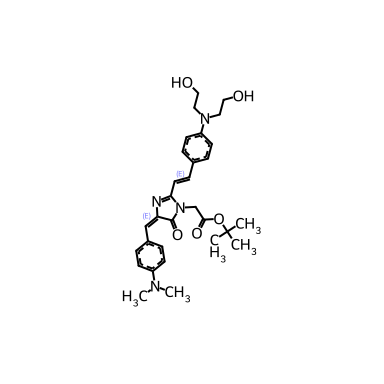 CN(C)c1ccc(/C=C2N=C(/C=C/c3ccc(N(CCO)CCO)cc3)N(CC(=O)OC(C)(C)C)C/2=O)cc1